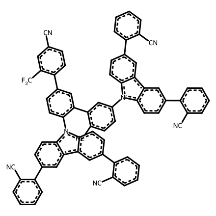 N#Cc1ccc(-c2ccc(-n3c4ccc(-c5ccccc5C#N)cc4c4cc(-c5ccccc5C#N)ccc43)c(-c3cc(-n4c5ccc(-c6ccccc6C#N)cc5c5cc(-c6ccccc6C#N)ccc54)ccc3C#N)c2)c(C(F)(F)F)c1